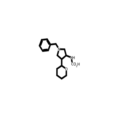 O=C(O)NC1CN(Cc2ccccc2)CC1C1CCCCO1